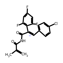 C=C(C)C(=O)NC(=O)/C(=C/c1ccc(Cl)cc1)c1c(F)cc(F)cc1F